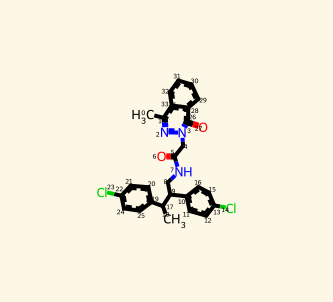 Cc1nn(CC(=O)NCC(c2ccc(Cl)cc2)C(C)c2ccc(Cl)cc2)c(=O)c2ccccc12